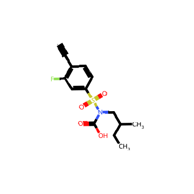 [C]#Cc1ccc(S(=O)(=O)N(CC(C)CC)C(=O)O)cc1F